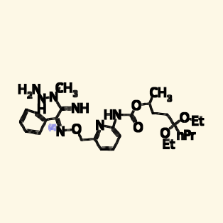 CCCC(CCC(C)OC(=O)Nc1cccc(CO/N=C(\C(=N)N(C)NN)c2ccccc2)n1)(OCC)OCC